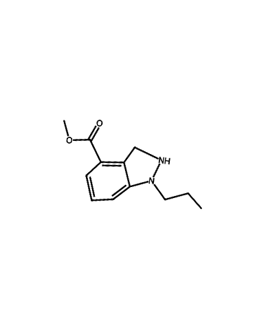 CCCN1NCc2c(C(=O)OC)cccc21